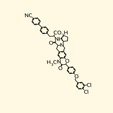 CN1C(=O)C(c2ccc(OCc3ccc(Cl)c(Cl)c3)cc2)Oc2cc3c(cc21)CC(C(=O)NC(Cc1ccc(-c2ccc(C#N)cc2)cc1)C(=O)O)N(C1CCCC1)C3